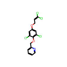 ClC(Cl)=CCOc1cc(Cl)c(OCc2ccccn2)c(Cl)c1